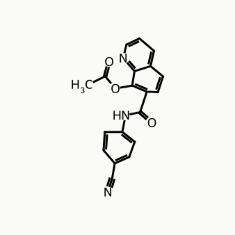 CC(=O)Oc1c(C(=O)Nc2ccc(C#N)cc2)ccc2cccnc12